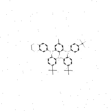 Cc1cc2c3c(c1)N(c1ccc4c(c1)OCCO4)c1ccc(C(C)(C)C)cc1B3c1cc(C(C)(C)C)ccc1N2c1ccc(C(C)(C)C)cc1